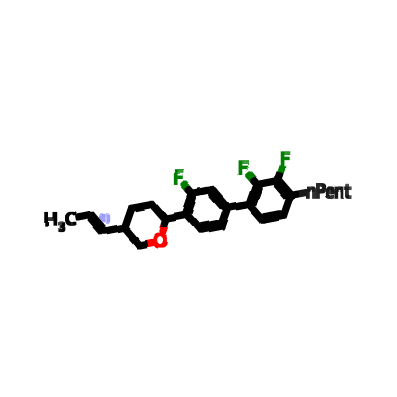 C/C=C/C1CCC(c2ccc(-c3ccc(CCCCC)c(F)c3F)cc2F)OC1